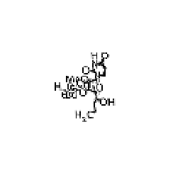 C=CC[C@H](O)[C@H]1O[C@@H](n2ccc(=O)[nH]c2=O)[C@@H](OC)[C@H]1O[Si](C)(C)C(C)(C)C